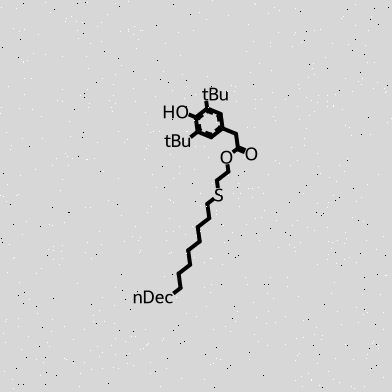 CCCCCCCCCCCCCCCCCCSCCOC(=O)Cc1cc(C(C)(C)C)c(O)c(C(C)(C)C)c1